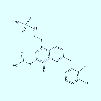 CS(=O)(=O)NCCn1cc(OC(=O)O)c(=O)c2cc(Cc3cccc(Cl)c3Cl)ccc21